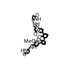 COc1nc(-c2cccc(-c3cccc(-c4ccc5nc(CNC[C@H]6CCC(=O)N6)cc(=O)n5c4)c3Cl)c2Cl)ccc1CNC[C@H]1CCC(=O)N1